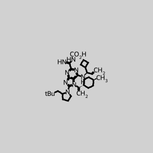 C=C[C@@H](Nc1nc(C(=N)NC(=O)O)nc2nc(N3CCCC3CC(C)(C)C)n(C(=C)[C@H]3CC[C@H](C)CC3)c12)C1CCC1